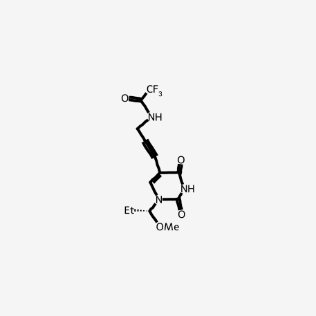 CC[C@@H](OC)n1cc(C#CCNC(=O)C(F)(F)F)c(=O)[nH]c1=O